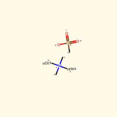 CCCCCCCC[N+](C)(C)CCCCCC.CS(=O)(=O)[O-]